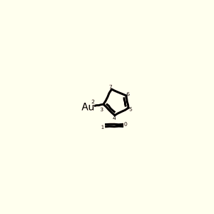 C=C.[Au][C]1=CC=CC1